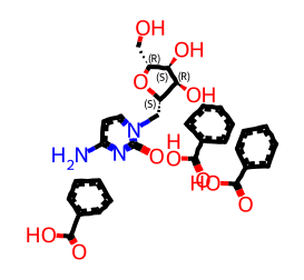 Nc1ccn(C[C@@H]2O[C@H](CO)[C@@H](O)[C@H]2O)c(=O)n1.O=C(O)c1ccccc1.O=C(O)c1ccccc1.O=C(O)c1ccccc1